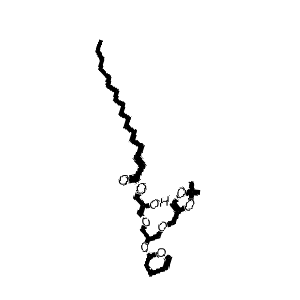 CCCCCCCCCCCCCCCCCC(=O)OCC(O)COCC(COCC1COC(C)(C)O1)OC1CCCCO1